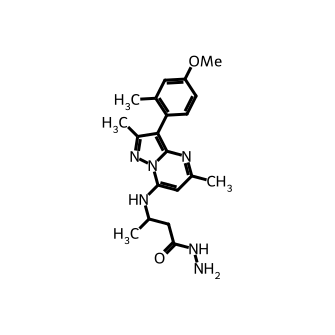 COc1ccc(-c2c(C)nn3c(NC(C)CC(=O)NN)cc(C)nc23)c(C)c1